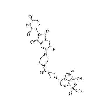 CS(=O)(=O)c1ccc(N2CC(C(=O)N3CCN(c4cc5c(cc4F)C(=O)N(C4CCC(=O)NC4=O)C5=O)CC3)C2)c2c1[C@H](O)[C@H](F)C2